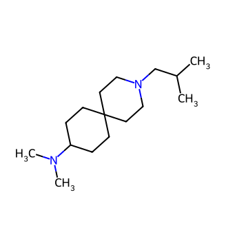 CC(C)CN1CCC2(CCC(N(C)C)CC2)CC1